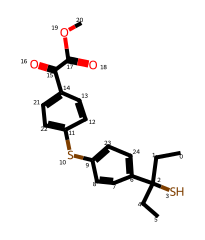 CCC(S)(CC)c1ccc(Sc2ccc(C(=O)C(=O)OC)cc2)cc1